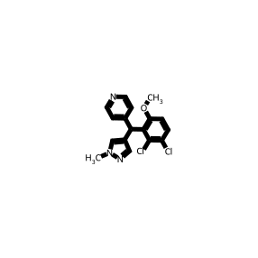 COc1ccc(Cl)c(Cl)c1C(c1ccncc1)c1cnn(C)c1